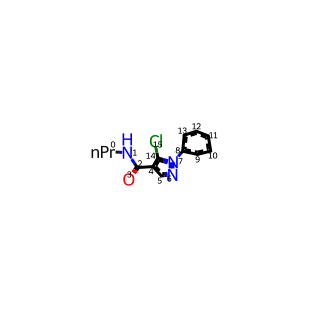 CCCNC(=O)c1cnn(-c2ccccc2)c1Cl